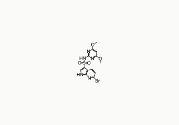 COc1cc(OC)nc(NS(=O)(=O)c2c[nH]c3nc(Br)ccc23)n1